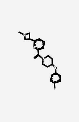 C=C(c1cccc(C2CN(C)C2)n1)N1CCC(Oc2ccc(F)cc2)CC1